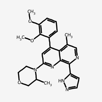 COc1cccc(-c2cc(N3CCOCC3C)nc3c(-c4ccn[nH]4)ncc(C)c23)c1OC